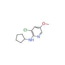 COc1cnc(NC2CCCC2)c(Cl)c1